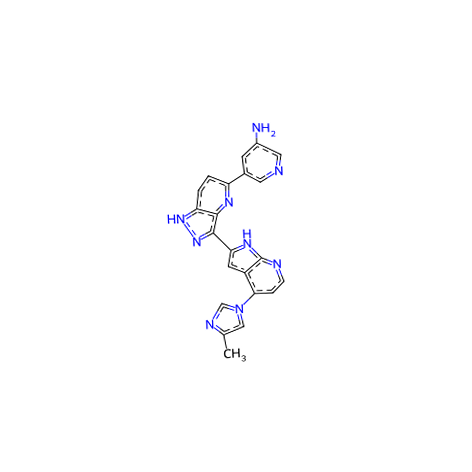 Cc1cn(-c2ccnc3[nH]c(-c4n[nH]c5ccc(-c6cncc(N)c6)nc45)cc23)cn1